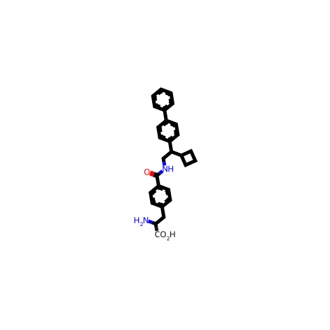 NC(Cc1ccc(C(=O)NCC(c2ccc(-c3ccccc3)cc2)C2CCC2)cc1)C(=O)O